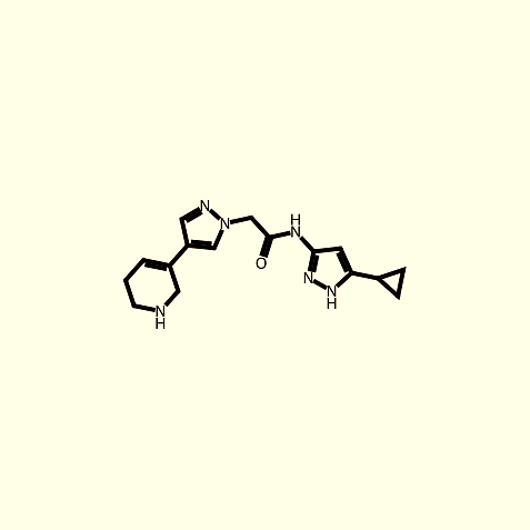 O=C(Cn1cc(C2=CCCNC2)cn1)Nc1cc(C2CC2)[nH]n1